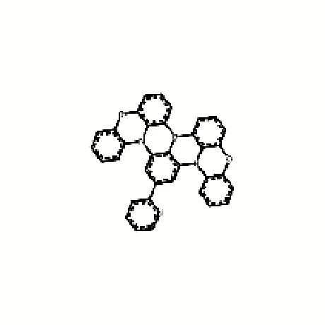 c1ccc(-c2cc3c4c(c2)N2c5ccccc5Oc5cccc(c52)B4c2cccc4c2N3c2ccccc2O4)nc1